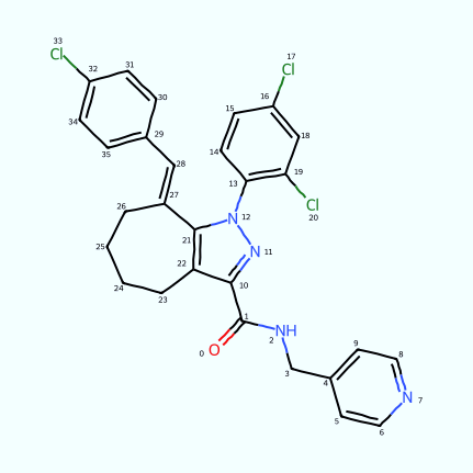 O=C(NCc1ccncc1)c1nn(-c2ccc(Cl)cc2Cl)c2c1CCCC/C2=C\c1ccc(Cl)cc1